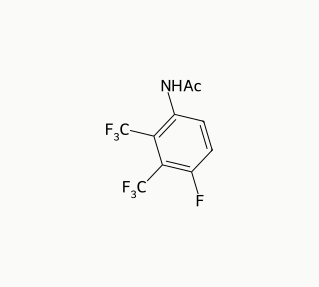 CC(=O)Nc1ccc(F)c(C(F)(F)F)c1C(F)(F)F